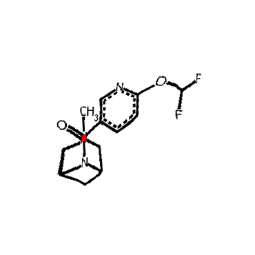 CN1CC2CC(C1)N2C(=O)c1ccc(OC(F)F)nc1